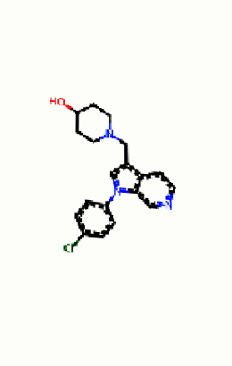 OC1CCN(Cc2cn(-c3ccc(Cl)cc3)c3cnccc23)CC1